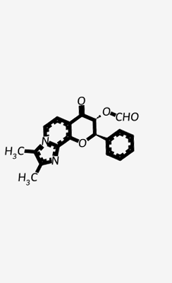 Cc1nc2c3c(ccn2c1C)C(=O)[C@H](OC=O)[C@@H](c1ccccc1)O3